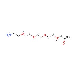 CC(C)(C)C(=O)COCCOCCOCCOCCN